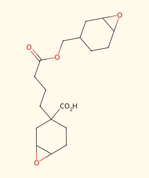 O=C(CCCC1(C(=O)O)CCC2OC2C1)OCC1CCC2OC2C1